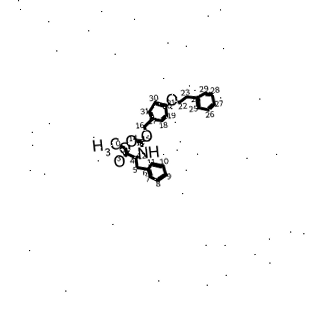 COC(=O)C(Cc1ccccc1)NC(=O)OCc1ccc(OCCc2ccccc2)cc1